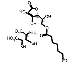 CCCCCCCCCCCCCCCC(=O)OC[C@H](O)[C@H]1OC(=O)C(O)=C1O.N[C@@H](CS)C(=O)O.O=C(O)CS